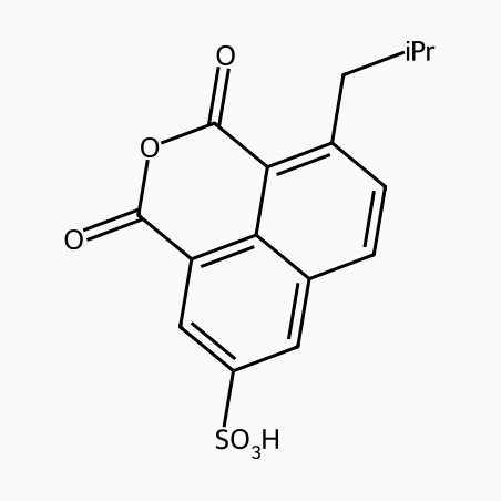 CC(C)Cc1ccc2cc(S(=O)(=O)O)cc3c2c1C(=O)OC3=O